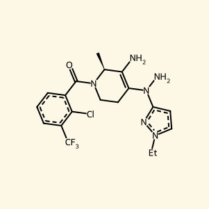 CCn1ccc(N(N)C2=C(N)[C@H](C)N(C(=O)c3cccc(C(F)(F)F)c3Cl)CC2)n1